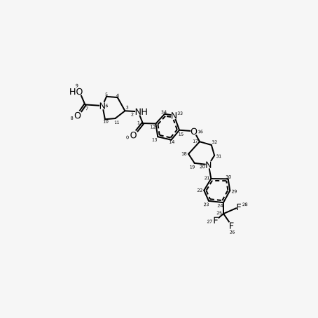 O=C(NC1CCN(C(=O)O)CC1)c1ccc(OC2CCN(c3ccc(C(F)(F)F)cc3)CC2)nc1